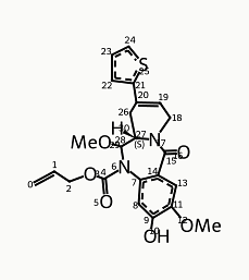 C=CCOC(=O)N1c2cc(O)c(OC)cc2C(=O)N2CC=C(c3cccs3)C[C@H]2C1OC